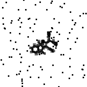 CC(C)C1=C(C#N)C(=C(C#N)C#N)OC1(C)c1ccccc1